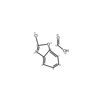 Clc1nc2ccccc2o1.O=CO